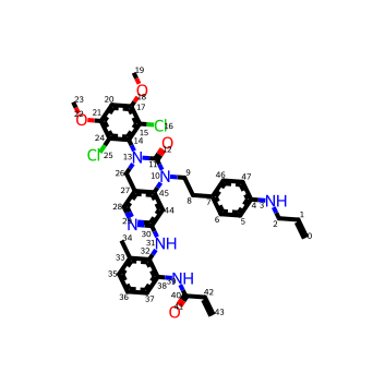 C=CCNc1ccc(CCN2C(=O)N(c3c(Cl)c(OC)cc(OC)c3Cl)Cc3cnc(Nc4c(C)cccc4NC(=O)C=C)cc32)cc1